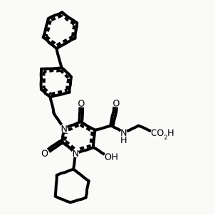 O=C(O)CNC(=O)c1c(O)n(C2CCCCC2)c(=O)n(Cc2ccc(-c3ccccc3)cc2)c1=O